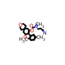 Cc1ccc(C)c(C2=C(OC(=O)N(C)CCC#N)CC3(CCOCC3)CC2=O)c1